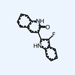 O=c1[nH]c2ccccc2cc1-c1[nH]c2ccccc2c1F